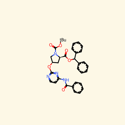 CC(C)(C)OC(=O)N1C[C@H](Oc2nccc(NC(=O)c3ccccc3)n2)C[C@@H]1C(=O)OC(c1ccccc1)c1ccccc1